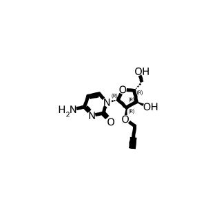 C#CCO[C@@H]1[C@H](O)[C@@H](CO)O[C@H]1n1ccc(N)nc1=O